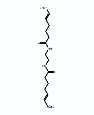 CCCCCCCCC=CCCCC(=O)NCCNC(=O)CCCC=CCCCCCCCC